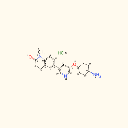 CN1C(=O)CCc2cc(-c3cncc(O[C@H]4CC[C@H](N)CC4)c3)ccc21.Cl